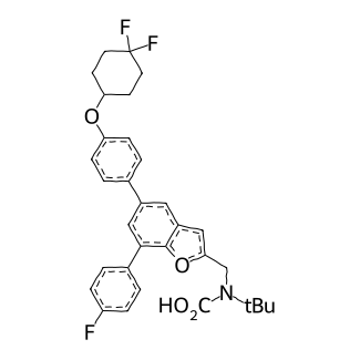 CC(C)(C)N(Cc1cc2cc(-c3ccc(OC4CCC(F)(F)CC4)cc3)cc(-c3ccc(F)cc3)c2o1)C(=O)O